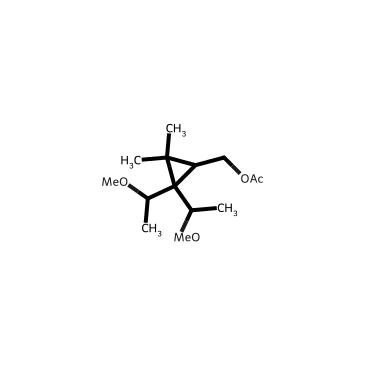 COC(C)C1(C(C)OC)C(COC(C)=O)C1(C)C